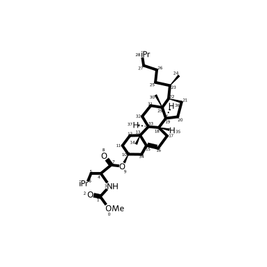 COC(=O)NC(CC(C)C)C(=O)O[C@H]1CC[C@@]2(C)C(=CC[C@H]3[C@@H]4CC[C@H]([C@H](C)CCCC(C)C)[C@@]4(C)CC[C@@H]32)C1